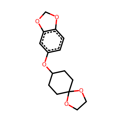 c1cc2c(cc1OC1CCC3(CC1)OCCO3)OCO2